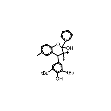 Cc1ccc2c(c1)C(c1cc(C(C)(C)C)c(O)c(C(C)(C)C)c1)C(F)(F)C(O)(c1ccccc1)O2